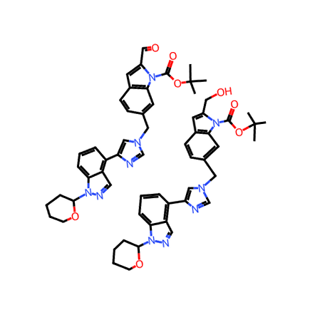 CC(C)(C)OC(=O)n1c(C=O)cc2ccc(Cn3cnc(-c4cccc5c4cnn5C4CCCCO4)c3)cc21.CC(C)(C)OC(=O)n1c(CO)cc2ccc(Cn3cnc(-c4cccc5c4cnn5C4CCCCO4)c3)cc21